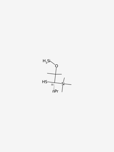 CCC[C@](S)(C(C)(C)O[SiH3])[Si](C)(C)C